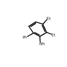 CCCc1c(C(C)C)[c]cc(CC)c1CC